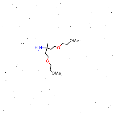 COCCOCCC(C)(N)CCOCCOC